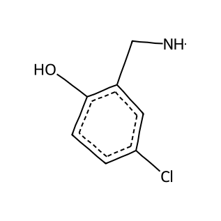 [NH]Cc1cc(Cl)ccc1O